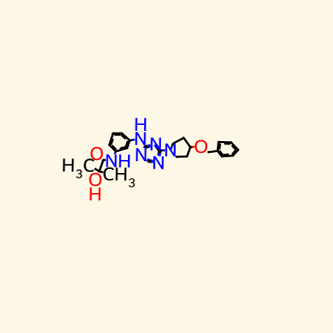 CC(C)(O)C(=O)Nc1cccc(Nc2ncnc(N3CCC(OCc4ccccc4)CC3)n2)c1